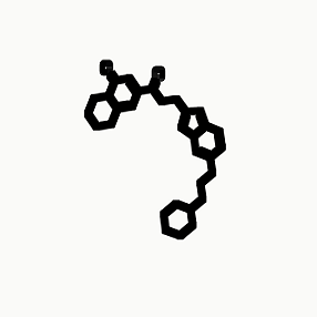 O=C(CCC1=CC2C=C(CCCC3CCCCC3)C=CC2=C1)C1=CC(=O)C2CCCCC2=C1